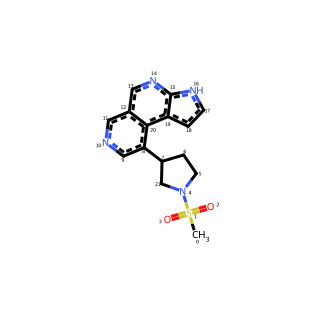 CS(=O)(=O)N1CCC(c2cncc3cnc4[nH]ccc4c23)C1